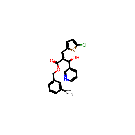 O=C(OCc1cccc(C(F)(F)F)c1)C(=Cc1ccc(Cl)s1)C(O)c1cccnc1